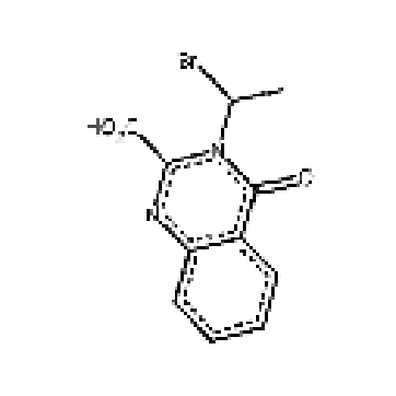 CC(Br)n1c(C(=O)O)nc2ccccc2c1=O